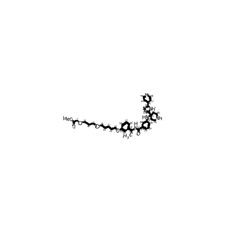 COC(=O)COCCCOCCCCCOc1cccc([C@H](C)NC(=O)c2cccc(NC3(c4nnc(-c5ccncc5)[nH]4)CCNCC3)c2)c1